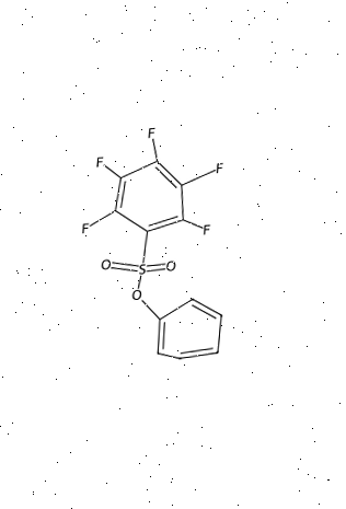 O=S(=O)(Oc1ccccc1)c1c(F)c(F)c(F)c(F)c1F